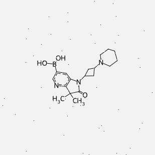 CC1(C)C(=O)N(C2CC(N3CCCCC3)C2)c2cc(B(O)O)cnc21